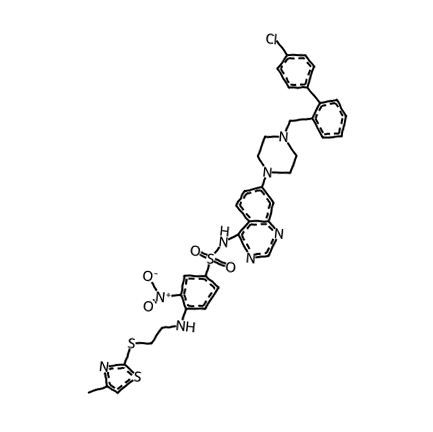 Cc1csc(SCCNc2ccc(S(=O)(=O)Nc3ncnc4cc(N5CCN(Cc6ccccc6-c6ccc(Cl)cc6)CC5)ccc34)cc2[N+](=O)[O-])n1